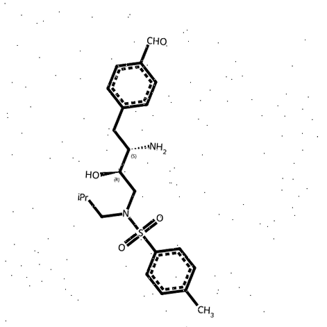 Cc1ccc(S(=O)(=O)N(CC(C)C)C[C@@H](O)[C@@H](N)Cc2ccc(C=O)cc2)cc1